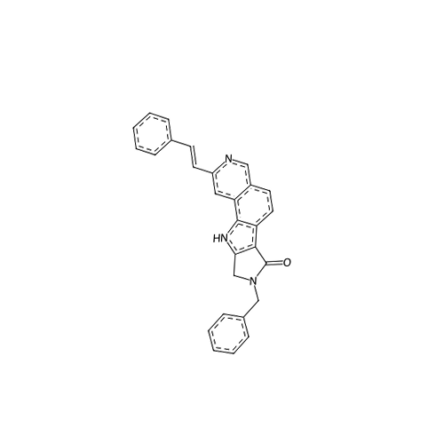 O=C1c2c([nH]c3c2ccc2cnc(/C=C/c4ccccc4)cc23)CN1Cc1ccccc1